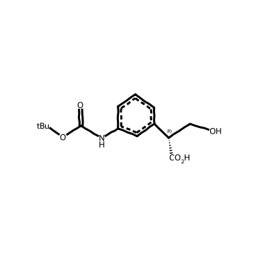 CC(C)(C)OC(=O)Nc1cccc([C@H](CO)C(=O)O)c1